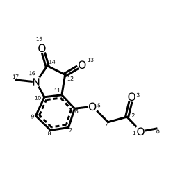 COC(=O)COc1cccc2c1C(=O)C(=O)N2C